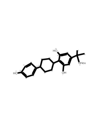 CCCCCCC(C)(C)c1cc(O)c(C2CCC(c3ccc(O)cc3)CC2)c(O)c1